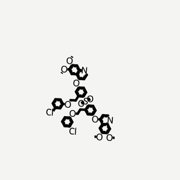 COc1cc2nccc(Oc3ccc(S(=O)(=O)c4ccc(Oc5ccnc6cc(OC)c(OC)cc56)cc4CCOc4cccc(Cl)c4)c(CCOc4cccc(Cl)c4)c3)c2cc1OC